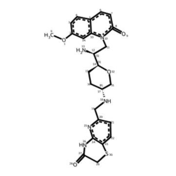 COc1ccc2ccc(=O)n(C[C@H](N)[C@@H]3CC[C@@H](NCc4ccc5c(n4)NC(=O)CS5)CO3)c2c1